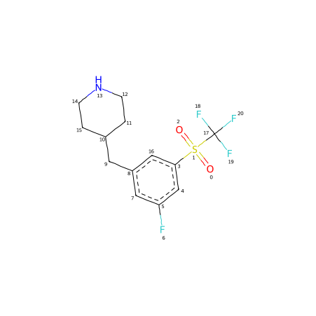 O=S(=O)(c1cc(F)cc(CC2CCNCC2)c1)C(F)(F)F